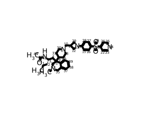 CCC[C@@H](CC1(C2CCN(CC3CN(c4ccc(S(=O)(=O)c5ccncc5)cc4)C3)CC2)CN(C)Cc2ccccc21)NC(C)=O